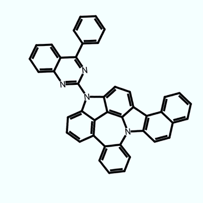 c1ccc(-c2nc(-n3c4cccc5c6ccccc6n6c7ccc8ccccc8c7c7ccc3c(c54)c76)nc3ccccc23)cc1